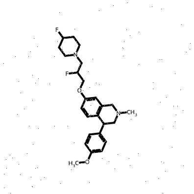 COc1ccc(C2CN(C)Cc3cc(OCC(F)CN4CCC(F)CC4)ccc32)cc1